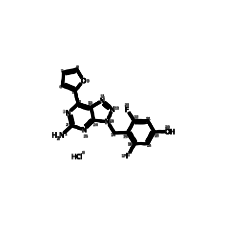 Cl.Nc1nc(-c2ccco2)c2nnn(Cc3c(F)cc(O)cc3F)c2n1